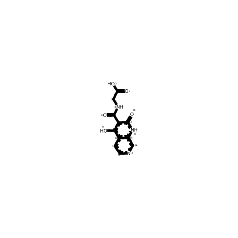 O=C(O)CNC(=O)c1c(O)c2ccncc2[nH]c1=O